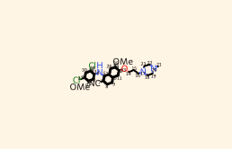 COc1cc(Nc2c(C#N)ccc3cc(OCCCN4CCN(C)CC4)c(OC)cc23)c(Cl)cc1Cl